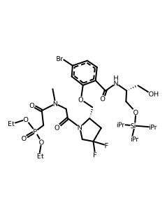 CCOP(=O)(CC(=O)N(C)CC(=O)N1CC(F)(F)C[C@H]1COc1cc(Br)ccc1C(=O)N[C@H](CO)CO[Si](C(C)C)(C(C)C)C(C)C)OCC